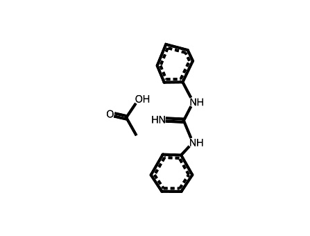 CC(=O)O.N=C(Nc1ccccc1)Nc1ccccc1